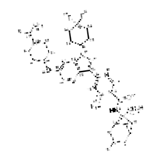 CC1CC2CC(C1)C(NC(=O)c1cnc(-c3cn(C4CCC(F)(F)CC4)c4cc(OC5CCN(C(C)C(F)(F)F)CC5)ccc34)nc1C(F)(F)F)(C(=O)O)C2